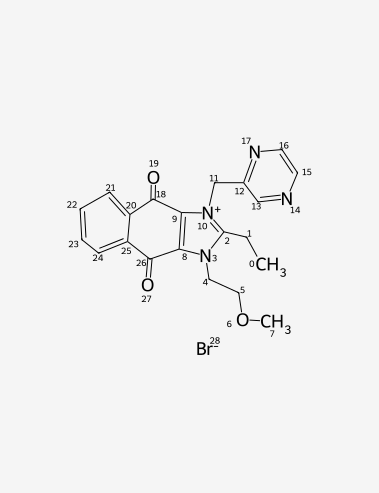 CCc1n(CCOC)c2c([n+]1Cc1cnccn1)C(=O)c1ccccc1C2=O.[Br-]